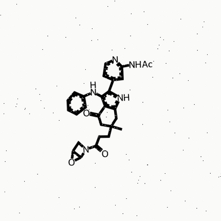 CC(=O)Nc1cc(-c2[nH]c3c(c2Nc2ccccc2)C(=O)CC(C)(CCC(=O)N2CC4OC42)C3)ccn1